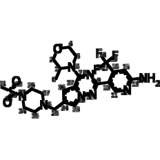 CC1COCCN1c1nc(-c2cnc(N)cc2C(F)(F)F)nn2cc(CN3CCN(S(C)(=O)=O)CC3)cc12